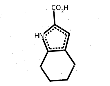 O=C(O)c1cc2c([nH]1)CCCC2